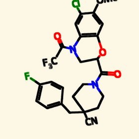 COc1cc2c(cc1Cl)N(C(=O)C(F)(F)F)CC(C(=O)N1CCC(C#N)(Cc3ccc(F)cc3)CC1)O2